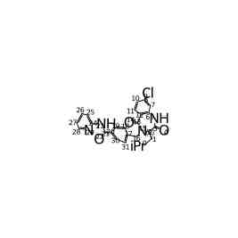 CC(C)C[C@@H]1C(=O)Nc2cc(Cl)ccc2C(=O)N1Cc1ccc(C(=O)Nc2ccccn2)cc1